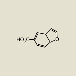 O=C(O)C1=CC2C=COC2C=C1